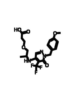 COc1ccc(Cn2ncc(NC(C)COCCC(=O)O)c(C(F)(F)F)c2=O)cc1